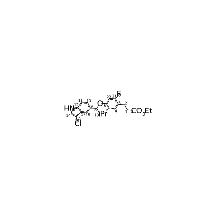 CCOC(=O)CCc1ccc(OC(c2ccc3[nH]cc(Cl)c3c2)C(C)C)cc1F